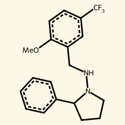 COc1ccc(C(F)(F)F)cc1CNN1CCCC1c1ccccc1